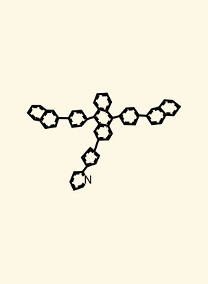 c1ccc(-c2ccc(-c3ccc4c(-c5ccc(-c6ccc7ccccc7c6)cc5)c5ccccc5c(-c5ccc(-c6ccc7ccccc7c6)cc5)c4c3)cc2)nc1